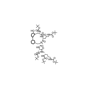 CN1C(=O)[C@H](C[C@@H](O)CNC(=O)OC(C)(C)C)NC(=O)[C@@H](NC(=O)OC(C)(C)C)Cc2cc(ccc2O)-c2cccc(c2)C[C@H]1C(=O)N[C@@H](CNC(=O)OC(C)(C)C)C(=O)NC[C@H](CCCNC(=O)OC(C)(C)C)NC(=O)OC(C)(C)C